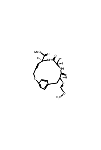 BOC=N[C@H]1Cc2ccc(cc2)OCC=C[C@@H](C(=O)OC)NC(=O)[C@H](C(C)C)NC1=O